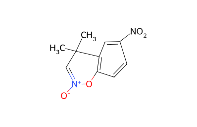 CC1(C)C=[N+]([O-])Oc2ccc([N+](=O)[O-])cc21